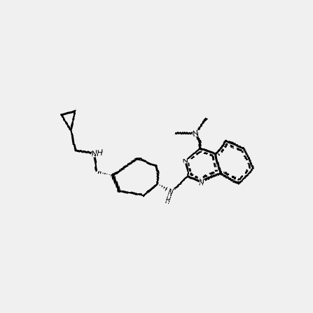 CN(C)c1nc(N[C@H]2CC[C@@H](CNCC3CC3)CC2)nc2ccccc12